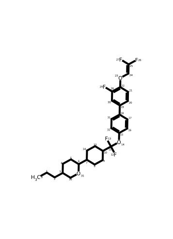 CCCC1CCC(C2CCC(C(F)(F)Oc3ccc(-c4ccc(OC=C(F)F)c(F)c4)cc3)CC2)OC1